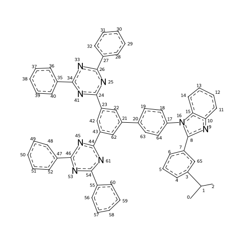 CC(C)c1cccc(-c2nc3ccccc3n2-c2ccc(-c3cc(-c4nc(-c5ccccc5)nc(-c5ccccc5)n4)cc(-c4nc(-c5ccccc5)nc(-c5ccccc5)n4)c3)cc2)c1